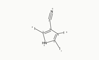 N#Cc1c(I)[nH]c(I)c1I